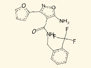 Nc1onc(-c2ccco2)c1C(=O)NCc1ccccc1C(F)(F)F